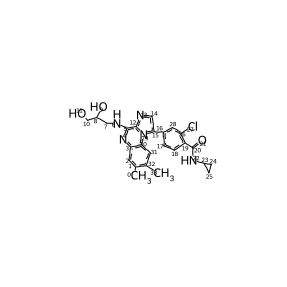 Cc1cc2nc(NCC(O)CO)c3ncc(-c4ccc(C(=O)NC5CC5)c(Cl)c4)n3c2cc1C